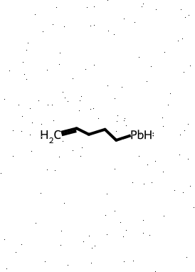 C=CCC[CH2][PbH]